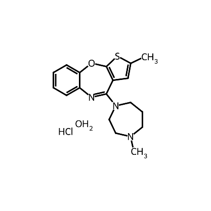 Cc1cc2c(s1)Oc1ccccc1N=C2N1CCCN(C)CC1.Cl.O